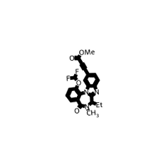 CCC1c2nc3ccc(C#CC(=O)OC)cc3n2-c2c(OC(F)F)cccc2C(=O)N1C